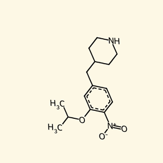 CC(C)Oc1cc(CC2CCNCC2)ccc1[N+](=O)[O-]